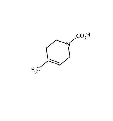 O=C(O)N1CC=C(C(F)(F)F)CC1